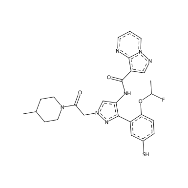 CC1CCN(C(=O)Cn2cc(NC(=O)c3cnn4cccnc34)c(-c3cc(S)ccc3OC(C)F)n2)CC1